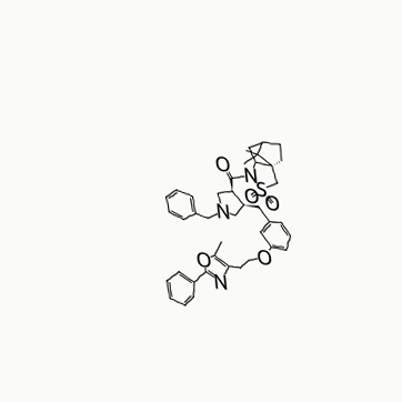 Cc1oc(-c2ccccc2)nc1CCOc1cccc(C[C@H]2CN(Cc3ccccc3)C[C@H]2C(=O)N2C3CC4CC[C@@]3(CS2(=O)=O)C4(C)C)c1